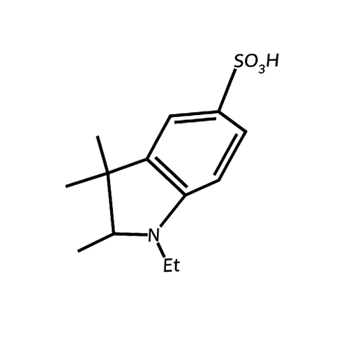 CCN1c2ccc(S(=O)(=O)O)cc2C(C)(C)C1C